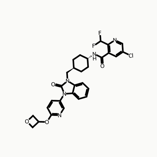 O=C(N[C@H]1CC[C@H](Cn2c(=O)n(-c3ccc(OC4COC4)nc3)c3ccccc32)CC1)c1cc(Cl)cnc1C(F)F